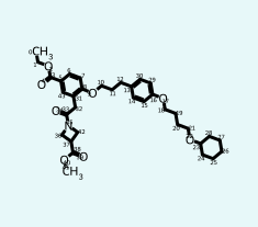 CCOC(=O)c1ccc(OCCCc2ccc(OCCCCOC3CCCCC3)cc2)c(CC(=O)N2CC(C(=O)OC)C2)c1